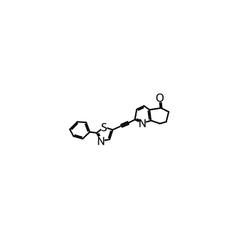 O=C1CCCc2nc(C#Cc3cnc(-c4ccccc4)s3)ccc21